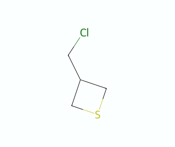 ClCC1CSC1